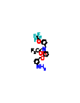 Nc1cccc(COc2cccc(N(Cc3cccc(OC(F)(F)C(F)F)c3)CC(O)C(F)(F)F)c2)c1